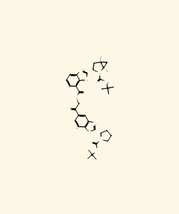 CC(C)(C)OC(=O)N1CCC[C@H]1c1nc2cc(C(=O)CNC(=O)c3cccc4nc([C@@H]5C[C@@H]6C[C@@H]6N5C(=O)OC(C)(C)C)[nH]c34)ccc2[nH]1